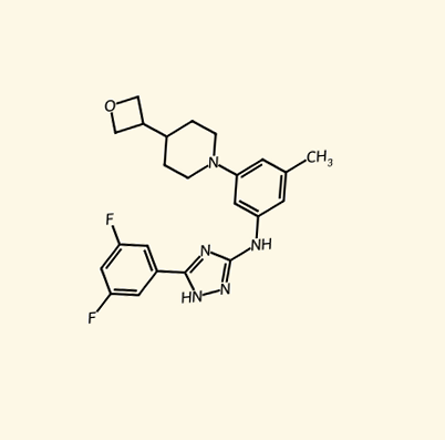 Cc1cc(Nc2n[nH]c(-c3cc(F)cc(F)c3)n2)cc(N2CCC(C3COC3)CC2)c1